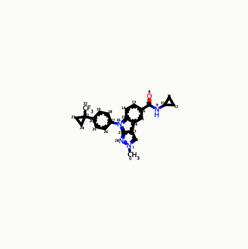 Cn1cc2c3cc(C(=O)NC4CC4)ccc3n(-c3ccc(C4(C(F)(F)F)CC4)cc3)c2n1